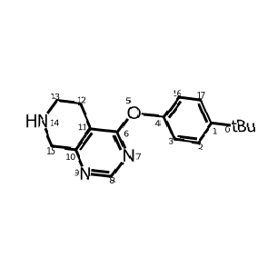 CC(C)(C)c1ccc(Oc2ncnc3c2CCNC3)cc1